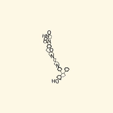 O=C1CCC(N2Cc3cc4c(cc3C2=O)CCC2(CCN(C3CC5(CCN(c6ccc([C@@H]7c8ccc(O)cc8CC[C@@H]7c7ccccc7)cc6)CC5)C3)CC2)O4)C(=O)N1